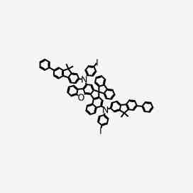 CC1(C)c2cc(-c3ccccc3)ccc2-c2ccc(N(c3ccc(I)cc3)c3cc4c(c5ccccc35)-c3c(cc(N(c5ccc(I)cc5)c5ccc6c(c5)C(C)(C)c5cc(-c7ccccc7)ccc5-6)c5c3oc3ccccc35)C43c4ccccc4-c4ccccc43)cc21